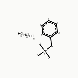 C[N+](C)(C)Cc1ccccc1.Cl.Cl.Cl